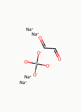 O=CC=O.[Na+].[Na+].[Na+].[Na+].[O-][Si]([O-])([O-])[O-]